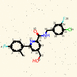 Cc1cc(F)ccc1-c1cc(CO)cc(C(=O)NCc2ccc(Cl)c(F)c2)n1